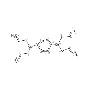 C=C[S][Sb]([S]C=C)[c]1cc[c]([Sb]([S]C=C)[S]C=C)cc1